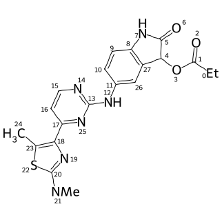 CCC(=O)OC1C(=O)Nc2ccc(Nc3nccc(-c4nc(NC)sc4C)n3)cc21